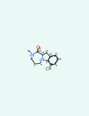 CN1CCCN2c3c(Cl)cccc3CC2C1=O